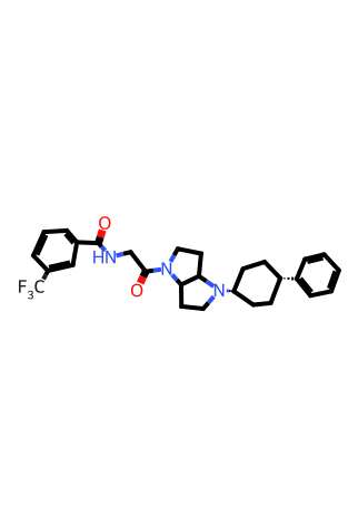 O=C(NCC(=O)N1CCC2C1CCN2[C@H]1CC[C@@H](c2ccccc2)CC1)c1cccc(C(F)(F)F)c1